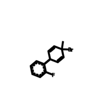 CC1(Br)C=CC(c2ccccc2F)C=C1